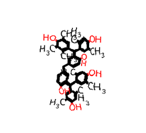 CC1=CC(C(c2cc(C)c(O)cc2C)c2cc(Cc3ccc(O)c(C(c4cc(C)c(O)cc4C)c4cc(C)c(O)cc4C)c3)ccc2O)=C(C)C(C)C1O